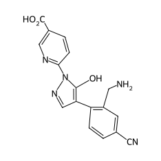 N#Cc1ccc(-c2cnn(-c3ccc(C(=O)O)cn3)c2O)c(CN)c1